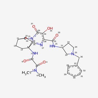 CN(C)C(=O)C(=O)NC12CCC(CC1)Cn1c2nc(C(=O)NC2CCN(Cc3ccccc3)C2)c(O)c1=O